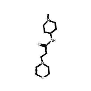 CN1CCC(NC(=O)CCN2CCOCC2)CC1